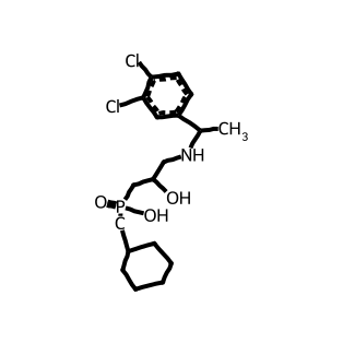 CC(NCC(O)CP(=O)(O)CC1CCCCC1)c1ccc(Cl)c(Cl)c1